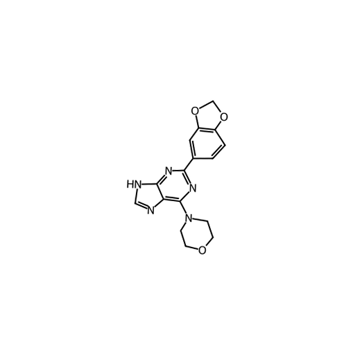 c1nc2c(N3CCOCC3)nc(-c3ccc4c(c3)OCO4)nc2[nH]1